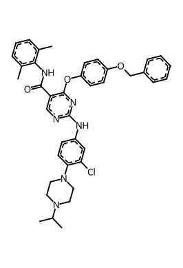 Cc1cccc(C)c1NC(=O)c1cnc(Nc2ccc(N3CCN(C(C)C)CC3)c(Cl)c2)nc1Oc1ccc(OCc2ccccc2)cc1